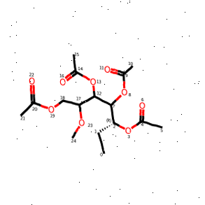 CC[C@@H](OC(C)=O)C(OC(C)=O)C(OC(C)=O)C(COC(C)=O)OC